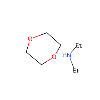 C1COCCO1.CCNCC